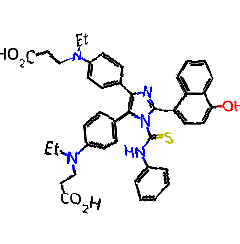 CCN(CCC(=O)O)c1ccc(-c2nc(-c3ccc(O)c4ccccc34)n(C(=S)Nc3ccccc3)c2-c2ccc(N(CC)CCC(=O)O)cc2)cc1